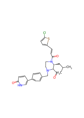 CC(C)C[C@H]1C(C=O)N(Cc2ccc(-c3ccc(=O)[nH]c3)cc2)CCN1C(=O)C=Cc1ccc(Cl)s1